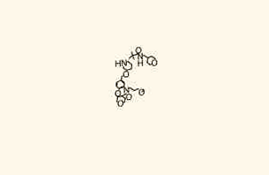 COCCCN1C(=O)C2(CCOCC2)Oc2ccc(CO[C@@H]3CC[C@@H](CC(C)(C)C(=O)NCC4CCOCC4)NC3)cc21